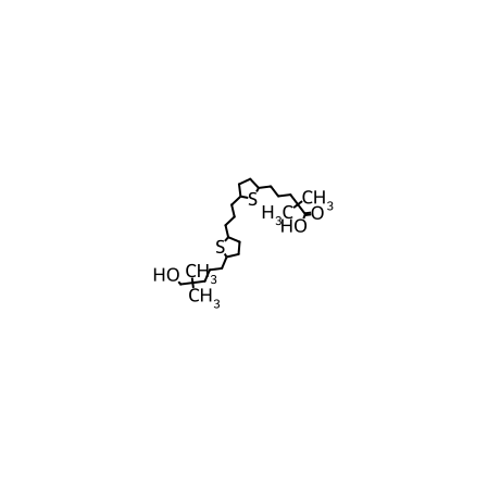 CC(C)(CO)CCCC1CCC(CCCC2CCC(CCCC(C)(C)C(=O)O)S2)S1